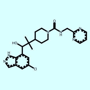 CC(C)(C1CCN(C(=O)NCc2ncccn2)CC1)C(O)c1cc(Cl)cc2cn[nH]c12